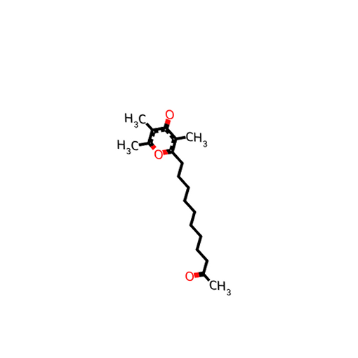 CC(=O)CCCCCCCCCc1oc(C)c(C)c(=O)c1C